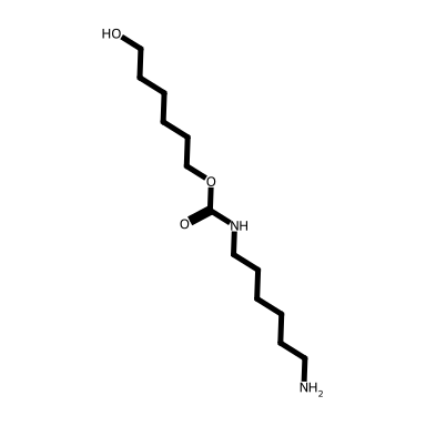 NCCCCCCNC(=O)OCCCCCCO